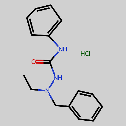 CCN(Cc1ccccc1)NC(=O)Nc1ccccc1.Cl